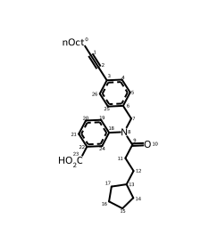 CCCCCCCCC#Cc1ccc(CN(C(=O)CCC2CCCC2)c2cccc(C(=O)O)c2)cc1